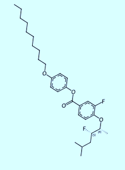 CCCCCCCCCCOc1ccc(OC(=O)c2ccc(O[C@H](C)[C@@H](F)CC(C)C)c(F)c2)cc1